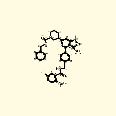 COc1ccc(F)cc1C(=O)NCc1ccc(-c2nc(C3CCCN(C(=O)OCc4ccccc4)C3)cc3[nH]nc(N)c23)cc1